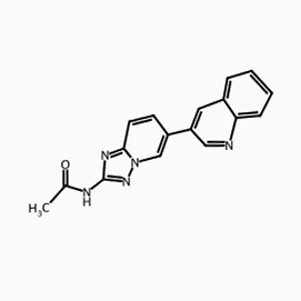 CC(=O)Nc1nc2ccc(-c3cnc4ccccc4c3)cn2n1